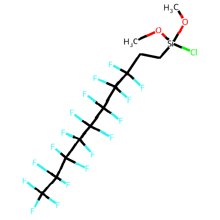 CO[Si](Cl)(CCC(F)(F)C(F)(F)C(F)(F)C(F)(F)C(F)(F)C(F)(F)C(F)(F)C(F)(F)F)OC